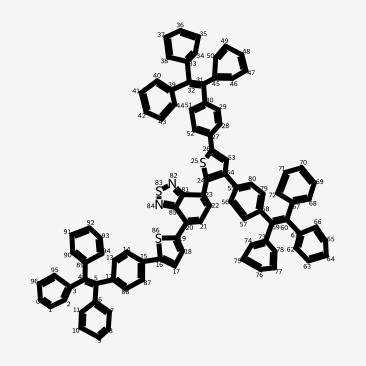 c1ccc(C(=C(c2ccccc2)c2ccc(-c3ccc(-c4ccc(-c5sc(-c6ccc(C(=C(c7ccccc7)c7ccccc7)c7ccccc7)cc6)cc5-c5ccc(C(=C(c6ccccc6)c6ccccc6)c6ccccc6)cc5)c5nsnc45)s3)cc2)c2ccccc2)cc1